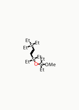 CC[Si](C=C[Si](CC)(CC)O[Si](CC)(CC)OC)(CC)CC